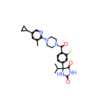 Cc1cc(C2CC2)cnc1N1CCN(C(=O)c2ccc(C3(C(C)C)NC(=O)NC3=O)cc2F)CC1